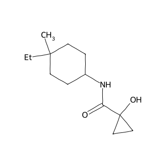 CCC1(C)CCC(NC(=O)C2(O)CC2)CC1